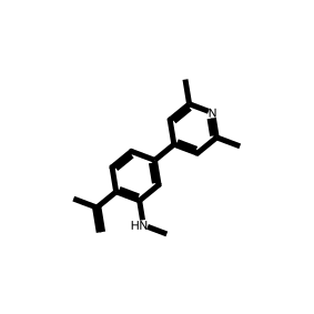 C=C(C)c1ccc(-c2cc(C)nc(C)c2)cc1NC